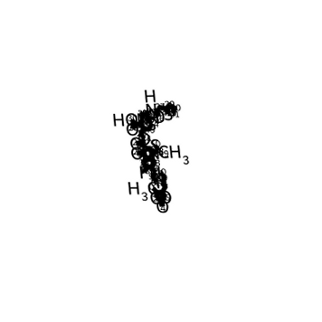 Cc1oc(=O)oc1CN1CCN(c2cc3c(cc2F)c(=O)c(C(=O)OCC2=C(C(=O)O)N4C[C@@H](NC(=O)Cc5cccs5)[C@H]4SC2)c2n3C(C)S2)CC1